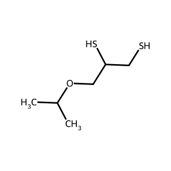 CC(C)OCC(S)CS